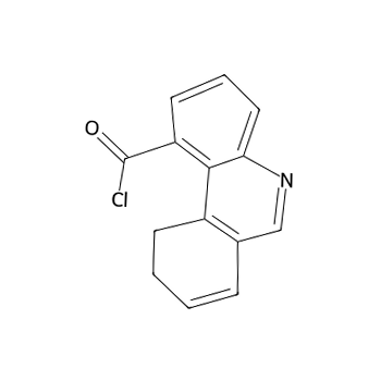 O=C(Cl)c1cccc2ncc3c(c12)CCC=C3